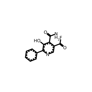 NC(=O)c1c(C(=O)F)cnc(-c2ccccc2)c1O